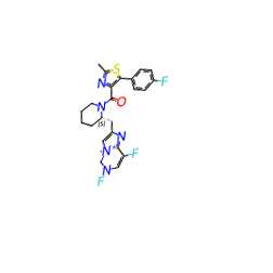 Cc1nc(C(=O)N2CCCC[C@H]2CC2=C[N+]3CN(F)C=C(F)C3=N2)c(-c2ccc(F)cc2)s1